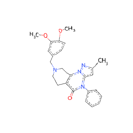 COc1ccc(CN2CCc3c(n4nc(C)cc4n(-c4ccccc4)c3=O)C2)cc1OC